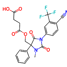 CN1C(=O)N(c2ccc(C#N)c(C(F)(F)F)c2)C(=O)C1(COC(=O)CCC(=O)O)c1ccccc1